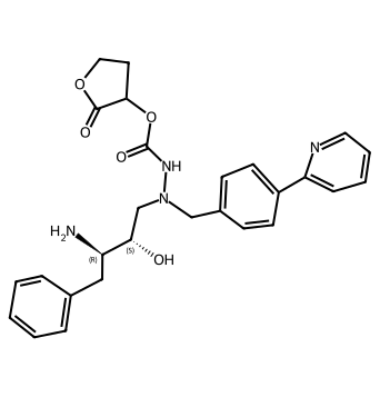 N[C@H](Cc1ccccc1)[C@@H](O)CN(Cc1ccc(-c2ccccn2)cc1)NC(=O)OC1CCOC1=O